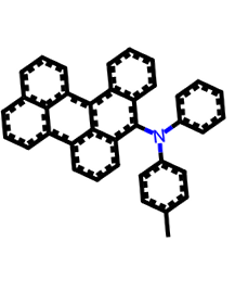 Cc1ccc(N(c2ccccc2)c2c3ccccc3c3c4cccc5cccc(c6cccc2c63)c54)cc1